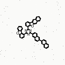 c1ccc2cc(-c3ccc4cc(-c5nc(-c6cccc7c6oc6cc8ccccc8cc67)nc(-c6cccc7oc8ccccc8c67)n5)ccc4c3)ccc2c1